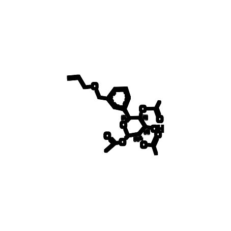 C=CCOCc1cccc([C@@H]2OC(OC(C)=O)[C@@H](OC(C)=O)[C@H](O)[C@H]2OC(C)=O)c1